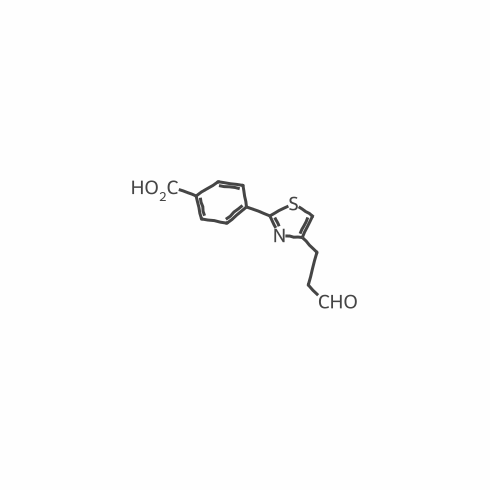 O=CCCc1csc(-c2ccc(C(=O)O)cc2)n1